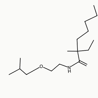 C=C(NCCOCC(C)C)C(C)(CC)CCCCC